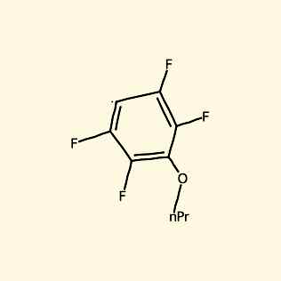 CCCOc1c(F)c(F)[c]c(F)c1F